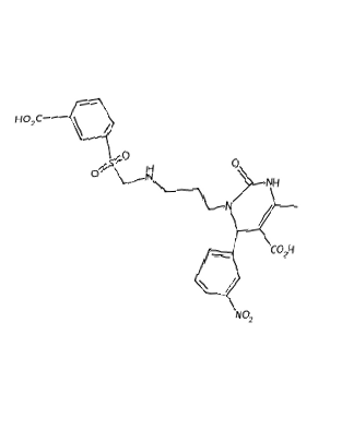 CC1=C(C(=O)O)C(c2cccc([N+](=O)[O-])c2)N(CCCNCS(=O)(=O)c2cccc(C(=O)O)c2)C(=O)N1